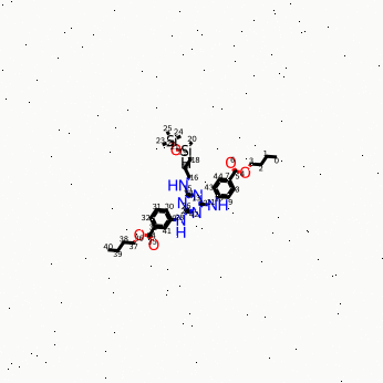 CCCCOC(=O)c1ccc(Nc2nc(NCCC[SiH](C)O[Si](C)(C)C)nc(Nc3cccc(C(=O)OCCCC)c3)n2)cc1